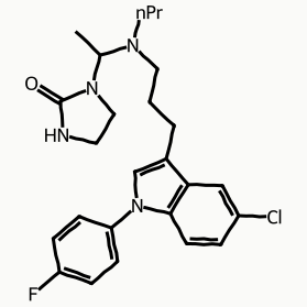 CCCN(CCCc1cn(-c2ccc(F)cc2)c2ccc(Cl)cc12)C(C)N1CCNC1=O